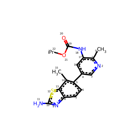 Cc1ncc(-c2ccc3nc(N)sc3c2C)cc1NC(=O)OC(C)C